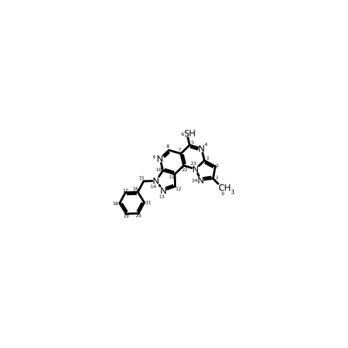 Cc1cc2nc(S)c3cnc4c(cnn4Cc4ccccc4)c3n2n1